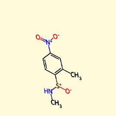 CN[S+]([O-])c1ccc([N+](=O)[O-])cc1C